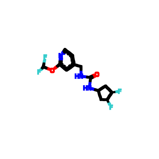 O=C(NCc1ccnc(OC(F)F)c1)NC1C[C@@H](F)[C@@H](F)C1